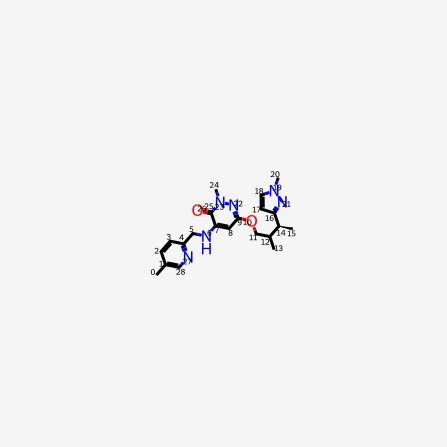 Cc1ccc(CNc2cc(OCC(C)[C@H](C)c3ccn(C)n3)nn(C)c2=O)nc1